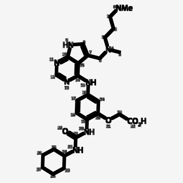 CNCCCN(C)Cc1c[nH]c2ncnc(Nc3ccc(NC(=O)NC4CCCCC4)c(OCC(=O)O)c3)c12